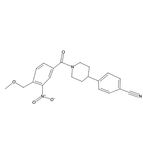 COCc1ccc(C(=O)N2CCC(c3ccc(C#N)cc3)CC2)cc1[N+](=O)[O-]